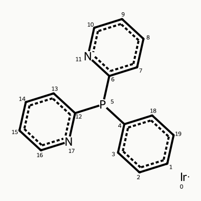 [Ir].c1ccc(P(c2ccccn2)c2ccccn2)cc1